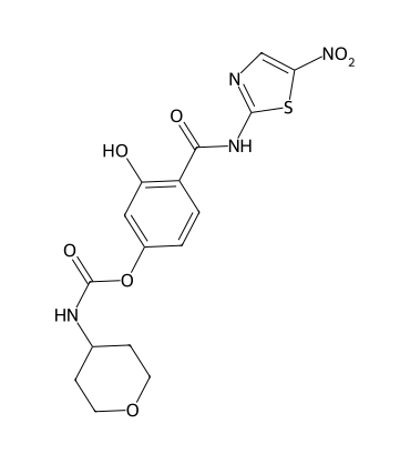 O=C(NC1CCOCC1)Oc1ccc(C(=O)Nc2ncc([N+](=O)[O-])s2)c(O)c1